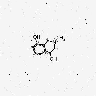 CN1Cc2c(O)cccc2C(O)C1